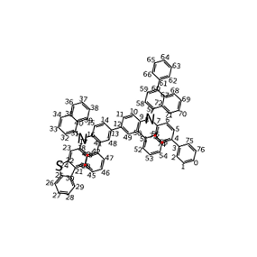 c1ccc(-c2ccc(N(c3ccc(-c4ccc(N(c5ccc6c(c5)sc5ccccc56)c5cccc6ccccc56)c(-c5ccccc5)c4)cc3-c3ccccc3)c3ccc(-c4ccccc4)c4ccccc34)cc2)cc1